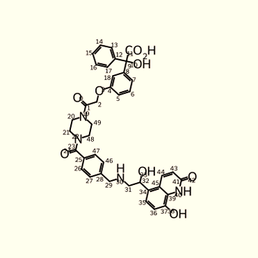 O=C(COc1cccc(C(O)(C(=O)O)c2ccccc2)c1)N1CCN(C(=O)c2ccc(CNCC(O)c3ccc(O)c4[nH]c(=O)ccc34)cc2)CC1